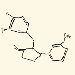 COc1cccc(C2SCC(=O)N2Cc2ccc(F)c(F)c2)c1